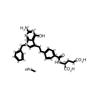 CCCC.Nc1nc(O)c2c(CCc3ccc(C(=O)N[C@@H](CCC(=O)O)C(=O)O)cc3)cn(Cc3ccccc3)c2n1